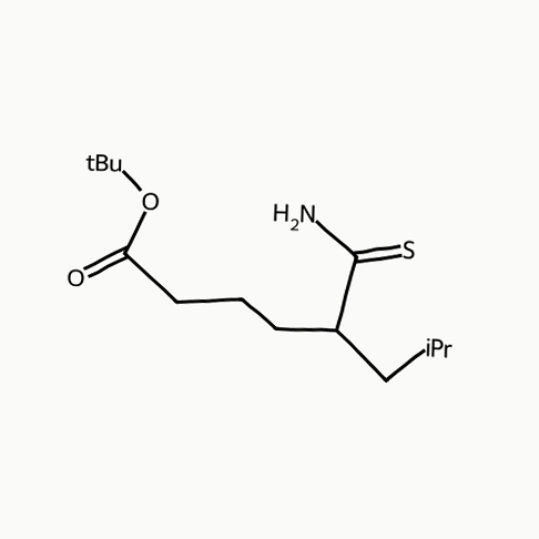 CC(C)CC(CCCC(=O)OC(C)(C)C)C(N)=S